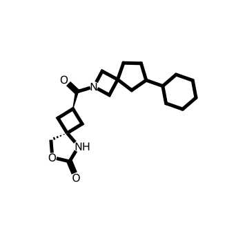 O=C1N[C@]2(CO1)C[C@H](C(=O)N1CC3(CCC(C4CCCCC4)C3)C1)C2